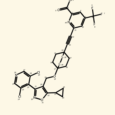 O=C(O)c1cc(C(F)(F)F)cc(C#CC23CCC(OCc4c(-c5c(Cl)cncc5Cl)noc4C4CC4)(CC2)CC3)n1